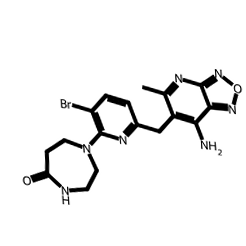 Cc1nc2nonc2c(N)c1Cc1ccc(Br)c(N2CCNC(=O)CC2)n1